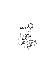 C=C[C@]1(C)C[C@@H](OC(=O)CSc2ccccc2OC)[C@]2(C)C(C)CCC3(CCC(=O)C32)[C@@H](C)[C@@H]1O